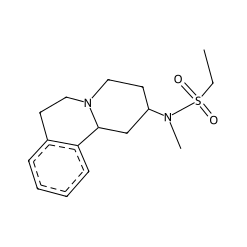 CCS(=O)(=O)N(C)C1CCN2CCc3ccccc3C2C1